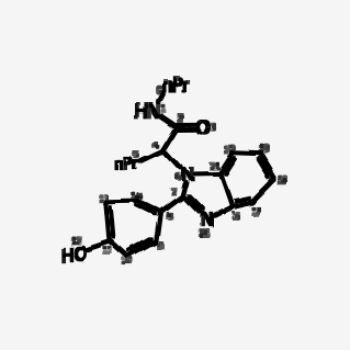 CCCNC(=O)C(CCC)n1c(-c2ccc(O)cc2)nc2ccccc21